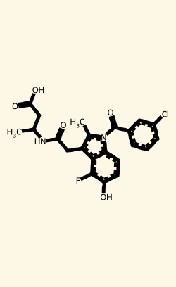 Cc1c(CC(=O)NC(C)CC(=O)O)c2c(F)c(O)ccc2n1C(=O)c1cccc(Cl)c1